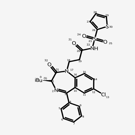 CC[C@H](C)C1N=C(c2ccccc2)c2cc(Cl)ccc2N(CCC(=O)NS(=O)(=O)c2cccs2)C1=O